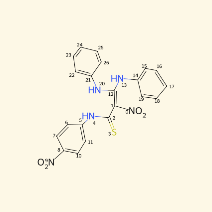 O=[N+]([O-])C(C(=S)Nc1ccc([N+](=O)[O-])cc1)=C(Nc1ccccc1)Nc1ccccc1